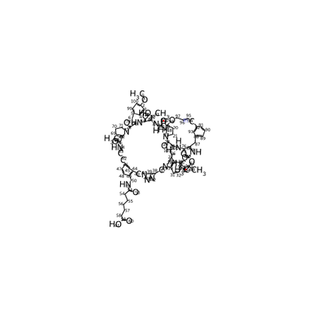 COc1ccc(C[C@@H]2NC(=O)[C@H]([C@@H](C)O)NC(=O)[C@@H]3[C@@H]4CCN3C(=O)[C@H](Cc3cn(c5ccc(F)cc35)Cc3cn(nn3)Cc3cc(ccc3CNC(=O)CCCCCC(=O)O)CCNC(=O)[C@]3(C)CCCN3C2=O)NC(=O)[C@@H](NC(=O)OC(C)(C)C)Cc2cccc(c2)C/C=C/CO4)cc1